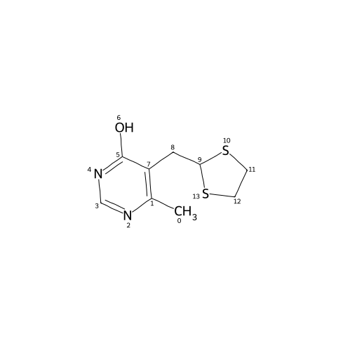 Cc1ncnc(O)c1CC1SCCS1